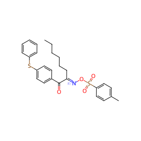 CCCCCC/C(=N\OS(=O)(=O)c1ccc(C)cc1)C(=O)c1ccc(Sc2ccccc2)cc1